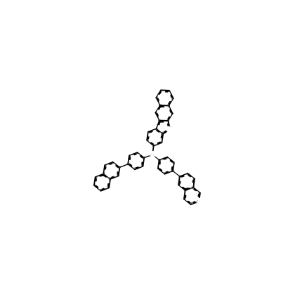 c1ccc2cc(-c3ccc(N(c4ccc(-c5ccc6cnccc6c5)cc4)c4ccc5c(c4)oc4cc6ccccc6cc45)cc3)ccc2c1